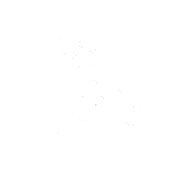 CC(C)(C)[Si](C)(C)OCc1ccc(-n2c(-c3cccnc3N)nc3ccc(-c4cn(CF)nn4)nc32)cc1